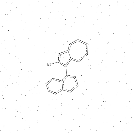 CCc1[c]c2cccccc-2c1-c1cccc2ccccc12